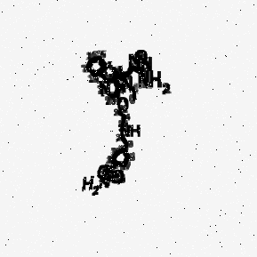 CCn1c(-c2nonc2N)nc2c(-c3ccccc3)ncc(OCCCNCCc3ccc(S(N)(=O)=O)cc3)c21